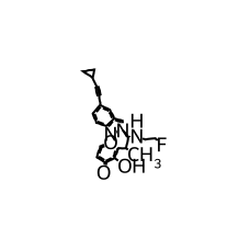 CC(c1occc(=O)c1O)[C@@H](NCCF)n1cc2cc(C#CC3CC3)ccc2n1